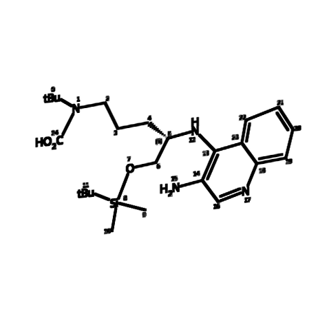 CC(C)(C)N(CCC[C@@H](CO[Si](C)(C)C(C)(C)C)Nc1c(N)cnc2ccccc12)C(=O)O